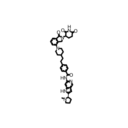 CN1CCC[C@@H]1c1cc2cnc(NC(=O)c3ccc(CCC4CCN(c5cccc6c5CN(C5CCC(=O)NC5=O)C6=O)CC4)cc3)cc2[nH]1